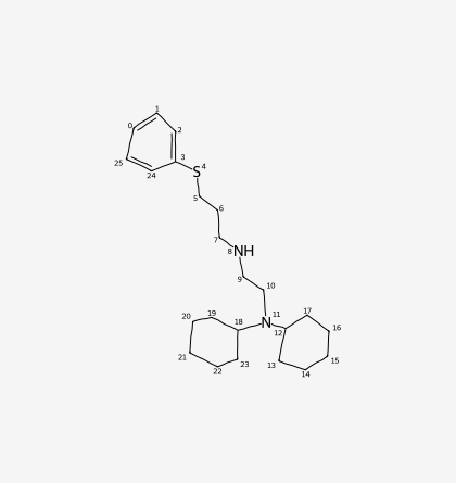 c1ccc(SCCCNCCN(C2CCCCC2)C2CCCCC2)cc1